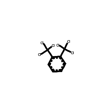 ClC(Cl)(Cl)c1[c]cccc1C(Cl)(Cl)Cl